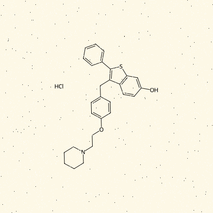 Cl.Oc1ccc2c(Cc3ccc(OCCN4CCCCC4)cc3)c(-c3ccccc3)sc2c1